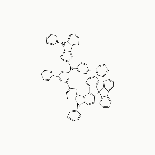 c1ccc(-c2ccc(N(c3cc(-c4ccccc4)cc(-c4ccc5c(c4)c4c6c(ccc4n5-c4ccccc4)C4(c5ccccc5-c5ccccc54)c4ccccc4-6)c3)c3ccc4c(c3)c3ccccc3n4-c3ccccc3)cc2)cc1